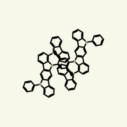 N#Cc1cc(-n2c3cc4c5ccccc5n(-c5ccccc5)c4cc3c3cccc(-n4c5ccccc5c5ccccc54)c32)c(C#N)cc1-n1c2cc3c4ccccc4n(-c4ccccc4)c3cc2c2cccc(-n3c4ccccc4c4ccccc43)c21